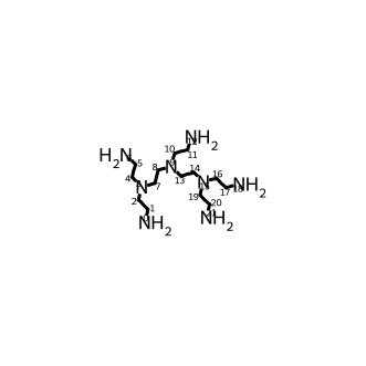 NCCN(CCN)CCN(CCN)CCN(CCN)CCN